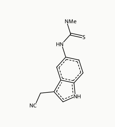 CNC(=S)Nc1ccc2[nH]cc(CC#N)c2c1